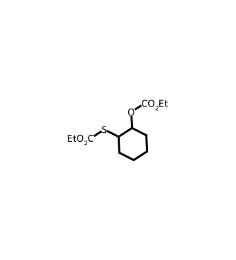 CCOC(=O)OC1CCCCC1SC(=O)OCC